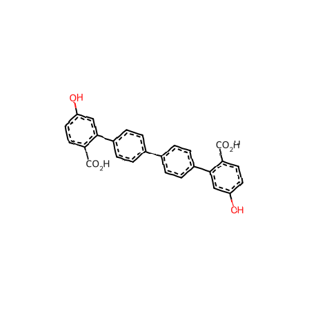 O=C(O)c1ccc(O)cc1-c1ccc(-c2ccc(-c3cc(O)ccc3C(=O)O)cc2)cc1